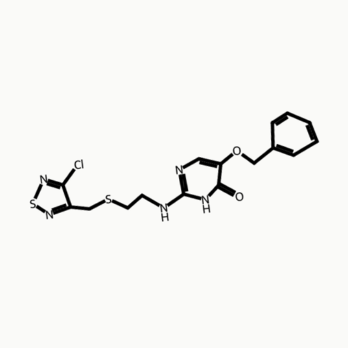 O=c1[nH]c(NCCSCc2nsnc2Cl)ncc1OCc1ccccc1